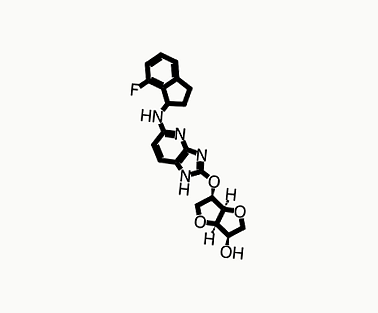 O[C@@H]1CO[C@H]2[C@@H]1OC[C@H]2Oc1nc2nc(NC3CCc4cccc(F)c43)ccc2[nH]1